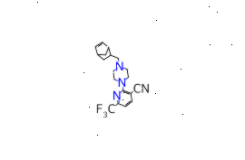 N#Cc1ccc(C(F)(F)F)nc1N1CCN(CC2CC3C=CC2C3)CC1